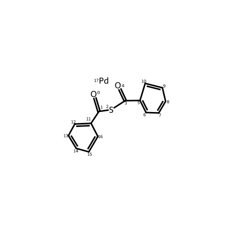 O=C(SC(=O)c1ccccc1)c1ccccc1.[Pd]